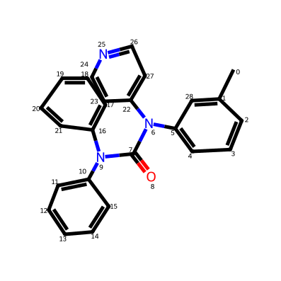 Cc1cccc(N(C(=O)N(c2ccccc2)c2ccccc2)c2ccncc2)c1